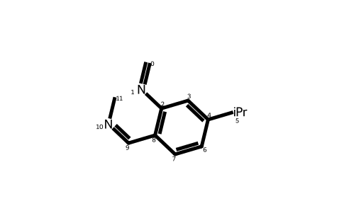 C=Nc1cc(C(C)C)ccc1/C=N\C